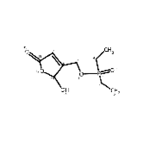 CCP(=O)(CC)OCC1=CC(=O)OC1O